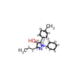 CCCc1nn(-c2ccccc2)c(-c2ccc(C)cc2)c1O